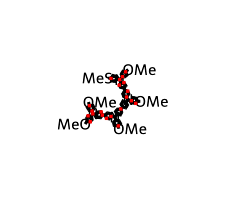 COc1ccc(N(c2ccc(OC)cc2)c2ccc(-c3ccc(N(c4ccc(OC)cc4)c4ccc(-c5ccc(N(c6ccc(OC)cc6)c6ccc(-c7ccc(N(c8ccc(OC)cc8)c8ccc(SC)cc8)cc7)cc6)cc5)cc4)cc3)cc2)cc1